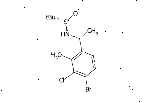 Cc1c([C@@H](C)N[S@@+]([O-])C(C)(C)C)ccc(Br)c1Cl